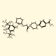 CC(=O)c1ccc(N2CCN(C(=O)CS[C@@H]3CCCC[C@H]3Sc3cc(C(C)(C)C)c(O)c(C(C)(C)C)c3)CC2)cc1